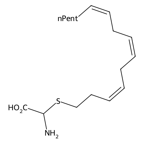 CCCCC/C=C\C/C=C\C/C=C\CCSC(N)C(=O)O